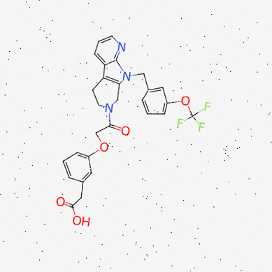 O=C(O)Cc1cccc(OCC(=O)N2CCc3c(n(Cc4cccc(OC(F)(F)F)c4)c4ncccc34)C2)c1